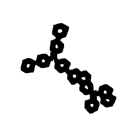 c1ccc(-c2ccc(N(c3ccc(-c4ccccc4)cc3)c3ccc(-c4ccc5c(ccc6cc(N(c7ccccc7)c7cccc8ccccc78)ccc65)c4)cc3)cc2)cc1